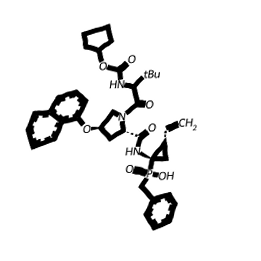 C=C[C@@H]1C[C@]1(NC(=O)[C@@H]1C[C@@H](Oc2cccc3ccccc23)CN1C(=O)C(NC(=O)OC1CCCC1)C(C)(C)C)P(=O)(O)Cc1ccccc1